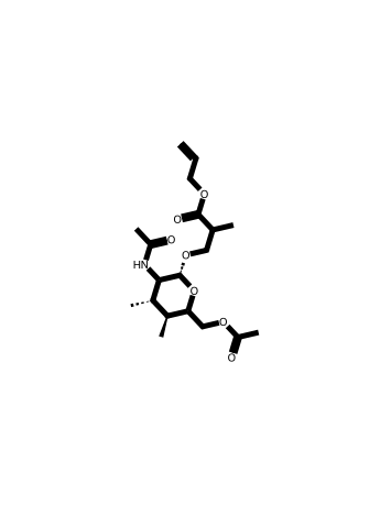 C=CCOC(=O)C(C)CO[C@@H]1OC(COC(C)=O)[C@@H](C)[C@H](C)C1NC(C)=O